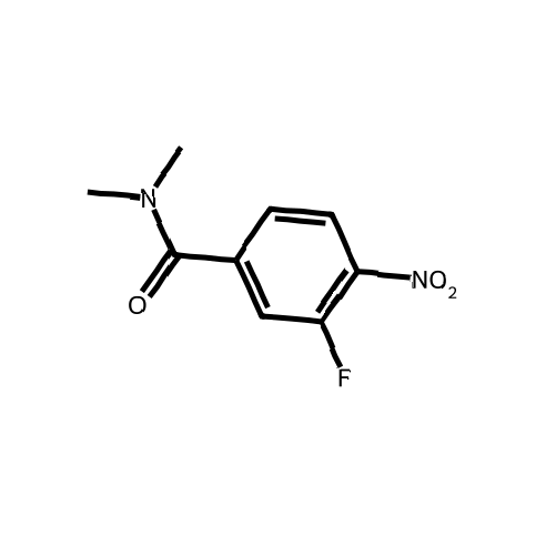 CN(C)C(=O)c1ccc([N+](=O)[O-])c(F)c1